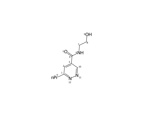 CCCc1cc(C(=O)NCCO)cnn1